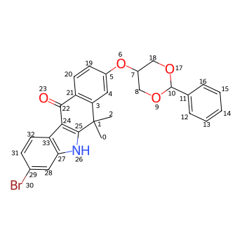 CC1(C)c2cc(OC3COC(c4ccccc4)OC3)ccc2C(=O)c2c1[nH]c1cc(Br)ccc21